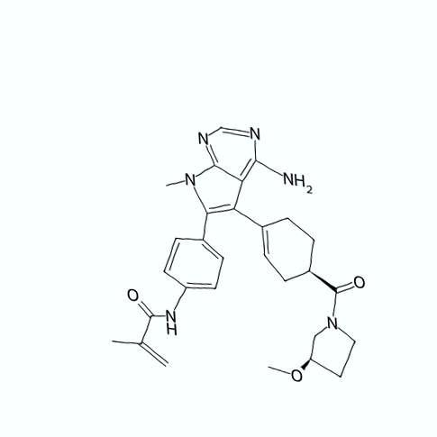 C=C(C)C(=O)Nc1ccc(-c2c(C3=CC[C@H](C(=O)N4CC[C@@H](OC)C4)CC3)c3c(N)ncnc3n2C)cc1